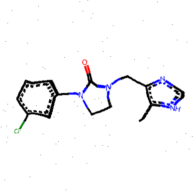 Cc1[nH]cnc1CN1CCN(c2cccc(Cl)c2)C1=O